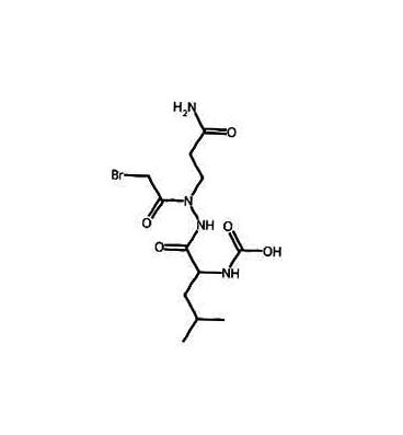 CC(C)CC(NC(=O)O)C(=O)NN(CCC(N)=O)C(=O)CBr